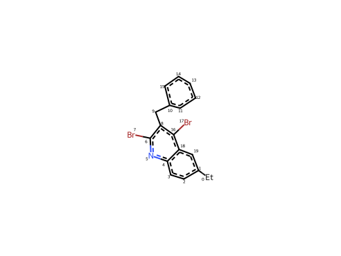 [CH2]Cc1ccc2nc(Br)c(Cc3ccccc3)c(Br)c2c1